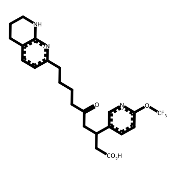 O=C(O)CC(CC(=O)CCCCc1ccc2c(n1)NCCC2)c1ccc(OC(F)(F)F)nc1